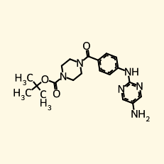 CC(C)(C)OC(=O)N1CCN(C(=O)c2ccc(Nc3ncc(N)cn3)cc2)CC1